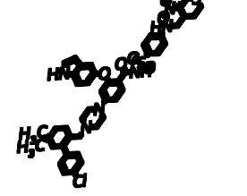 CC1(C)CCC(CN2CCN(c3ccc(C(=O)NS(=O)(=O)c4ccc(NCC5CC[S+]([O-])CC5[N+](=O)[O-])cc4)c(Oc4ccc5[nH]ccc5c4)c3)CC2)=C(c2ccc(Cl)cc2)C1